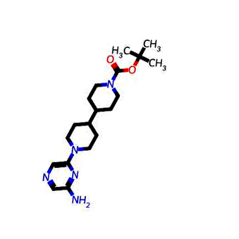 CC(C)(C)OC(=O)N1CCC(C2CCN(c3cncc(N)n3)CC2)CC1